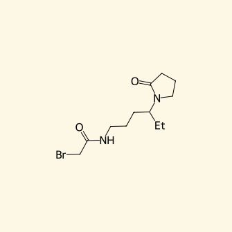 CCC(CCCNC(=O)CBr)N1CCCC1=O